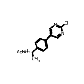 CC(=O)N[C@@H](C)c1ccc(-c2cnc(Cl)nc2)cc1